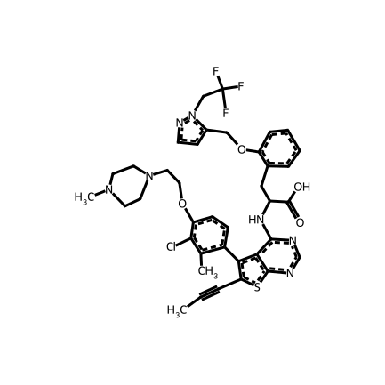 CC#Cc1sc2ncnc(NC(Cc3ccccc3OCc3ccnn3CC(F)(F)F)C(=O)O)c2c1-c1ccc(OCCN2CCN(C)CC2)c(Cl)c1C